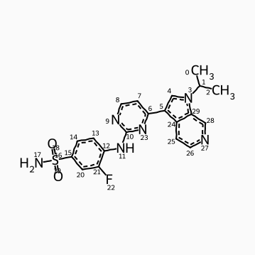 CC(C)n1cc(-c2ccnc(Nc3ccc(S(N)(=O)=O)cc3F)n2)c2ccncc21